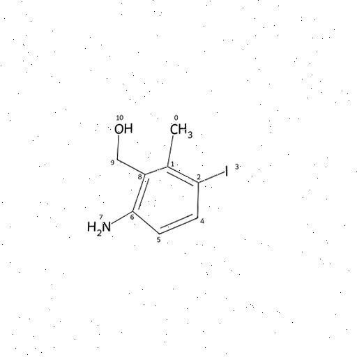 Cc1c(I)ccc(N)c1CO